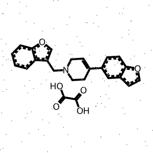 C1=C(c2ccc3occc3c2)CCN(Cc2coc3ccccc23)C1.O=C(O)C(=O)O